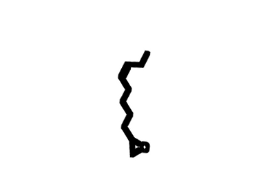 CC/C=C\CCCCC1CO1